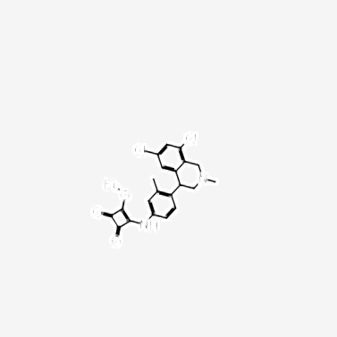 CCOc1c(Nc2ccc(C3CN(C)Cc4c(Cl)cc(Cl)cc43)c(C)c2)c(=O)c1=O